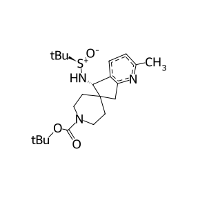 Cc1ccc2c(n1)CC1(CCN(C(=O)OC(C)(C)C)CC1)[C@@H]2N[S@+]([O-])C(C)(C)C